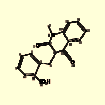 CN1C(=O)C(Cc2ccccc2S(=O)(=O)O)C(=O)c2ccccc21